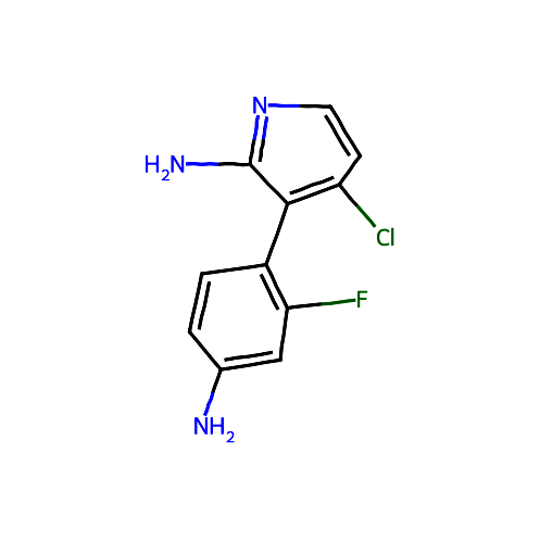 Nc1ccc(-c2c(Cl)ccnc2N)c(F)c1